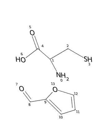 NC(CS)C(=O)O.O=Cc1ccco1